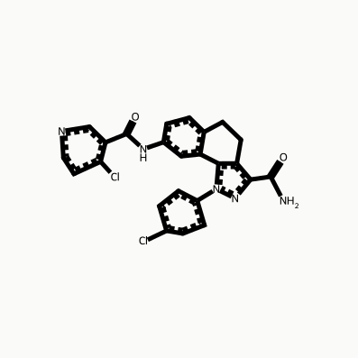 NC(=O)c1nn(-c2ccc(Cl)cc2)c2c1CCc1ccc(NC(=O)c3cnccc3Cl)cc1-2